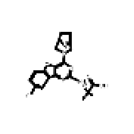 Nc1nc(N2CC3CCC(C2)N3)c2oc3ccc(Cl)cc3c2n1.O=C(O)C(F)(F)F